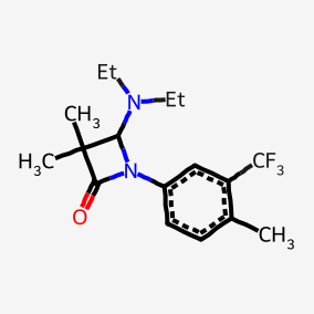 CCN(CC)C1N(c2ccc(C)c(C(F)(F)F)c2)C(=O)C1(C)C